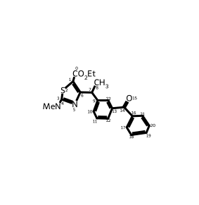 CCOC(=O)c1sc(NC)nc1C(C)c1cccc(C(=O)c2ccccc2)c1